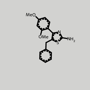 COc1ccc(-c2nc(N)sc2Cc2ccccc2)c(OC)c1